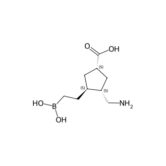 NC[C@H]1C[C@@H](C(=O)O)C[C@@H]1CCB(O)O